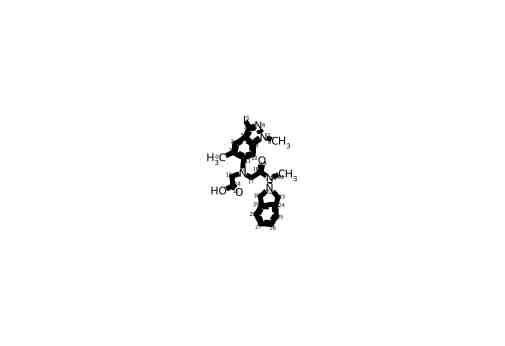 Cc1cc2c(I)nn(C)c2cc1N(CC(=O)O)CC(=O)N(C)N1Cc2ccccc2C1